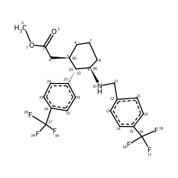 COC(=O)C[C@H]1CCC[C@@H](NCc2ccc(C(F)(F)F)cc2)[C@@H]1c1ccc(C(F)(F)F)cc1